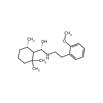 COc1ccccc1CCN[C@@H](O)C1[C@@H](C)CCCC1(C)C